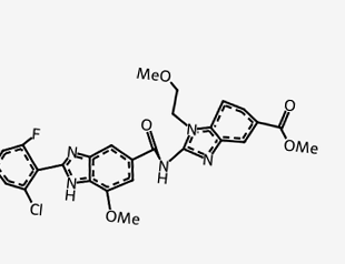 COCCn1c(NC(=O)c2cc(OC)c3[nH]c(-c4c(F)cccc4Cl)nc3c2)nc2cc(C(=O)OC)ccc21